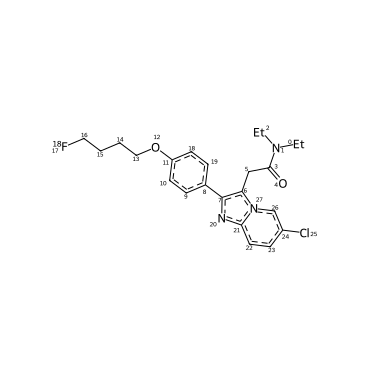 CCN(CC)C(=O)Cc1c(-c2ccc(OCCCC[18F])cc2)nc2ccc(Cl)cn12